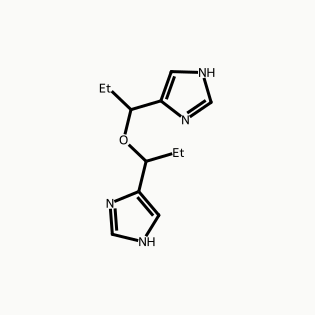 CCC(OC(CC)c1c[nH]cn1)c1c[nH]cn1